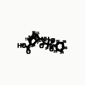 CC(C)(C(=O)NC1C2CC3CC1CC(C(=O)O)(C3)C2)S(=O)(=O)c1ccccc1